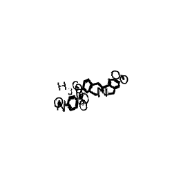 COc1ccc2c(c1OS(=O)(=O)c1ccc(N=O)cc1)CN1CCc3cc4c(cc3C1C2)OCO4